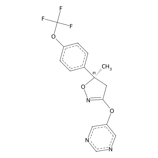 C[C@]1(c2ccc(OC(F)(F)F)cc2)CC(Oc2cncnc2)=NO1